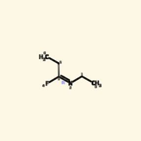 CC/N=C(/F)CC